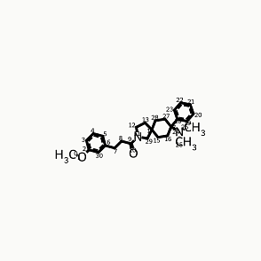 COc1cccc(CCC(=O)N2CCC3(CCC(c4ccccc4)(N(C)C)CC3)C2)c1